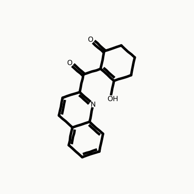 O=C1CCCC(O)=C1C(=O)c1ccc2ccccc2n1